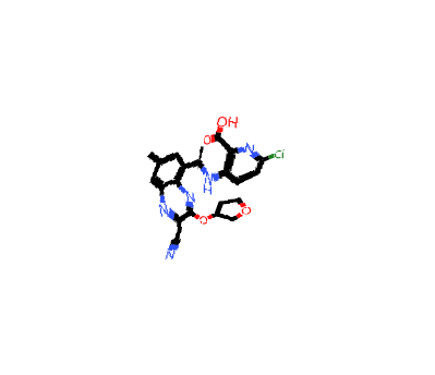 Cc1cc([C@@H](C)Nc2ccc(Cl)nc2C(=O)O)c2nc(OC3CCOC3)c(C#N)nc2c1